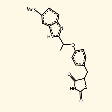 CSc1ccc2nc(C(C)Oc3ccc(CC4SC(=O)NC4=O)cc3)[nH]c2c1